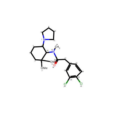 COC1(OC)CCCC(N2CCCC2)C1N(C)C(=O)Cc1ccc(Cl)c(Cl)c1